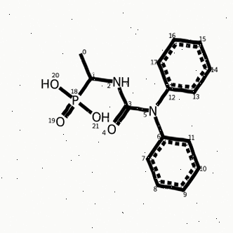 CC(NC(=O)N(c1ccccc1)c1ccccc1)P(=O)(O)O